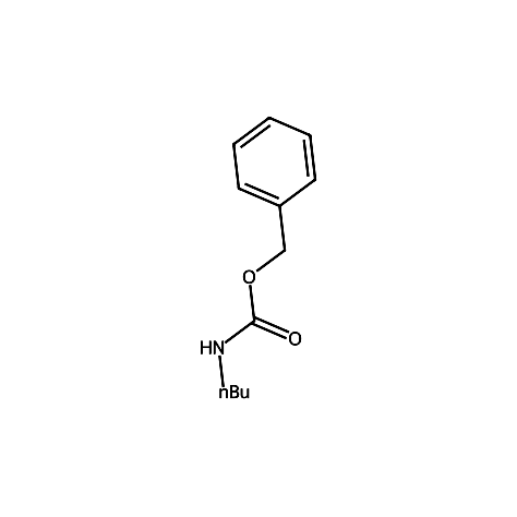 CCCCNC(=O)OCc1ccccc1